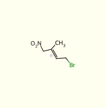 C/C(=C\CBr)C[N+](=O)[O-]